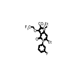 CCOC(=O)c1c(OCC(F)(F)F)c2c(=O)n(-c3cccc(F)c3)c(CC)cc2n1C